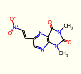 Cn1c(=O)c2nc(C=C[N+](=O)[O-])cnc2n(C)c1=O